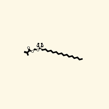 C=C(C)C(=O)OCO[Si](CCCCCCCCCCCCCCCC)(OC)OC